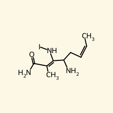 C/C=C\CC(N)/C(NI)=C(\C)C(N)=O